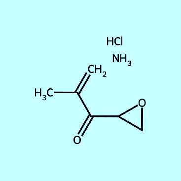 C=C(C)C(=O)C1CO1.Cl.N